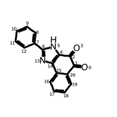 O=C1C(=O)c2[nH]c(-c3ccccc3)nc2-c2ccccc21